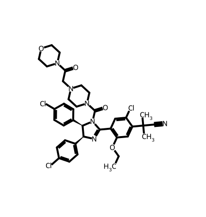 CCOc1cc(C(C)(C)C#N)c(Cl)cc1C1=N[C@@H](c2ccc(Cl)cc2)[C@@H](c2ccc(Cl)cc2)N1C(=O)N1CCN(CC(=O)N2CCOCC2)CC1